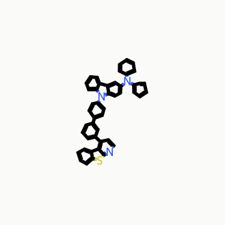 c1ccc(N(c2ccccc2)c2ccc3c(c2)c2ccccc2n3-c2ccc(-c3cccc(-c4ccnc5sc6ccccc6c45)c3)cc2)cc1